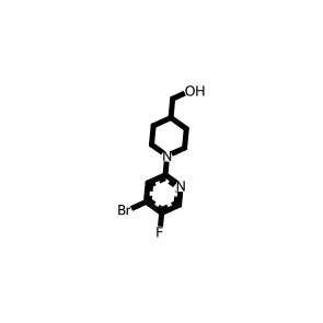 OCC1CCN(c2cc(Br)c(F)cn2)CC1